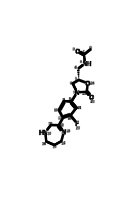 CC(=O)NC[C@H]1CN(c2ccc(C3=NCCCNC3)c(F)c2)C(=O)O1